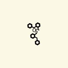 [O-][S+](Cc1ccccc1Cc1ccccc1)Cc1ccccc1Cc1ccccc1